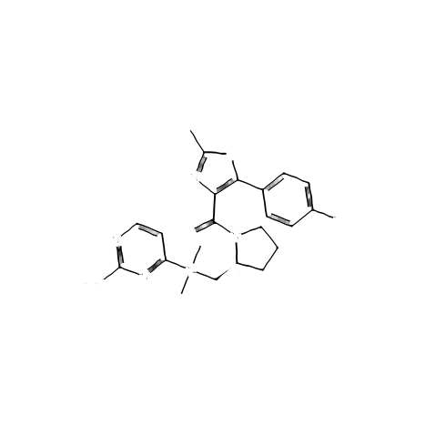 Cc1nc(C(=O)N2CCC[C@H]2C[N+](C)(C)c2ccnc(C(F)(F)F)n2)c(-c2ccc(F)cc2)s1